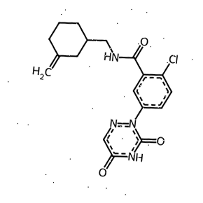 C=C1CCCC(CNC(=O)c2cc(-n3ncc(=O)[nH]c3=O)ccc2Cl)C1